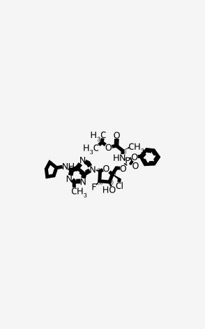 Cc1nc(NC2CCCC2)c2ncn([C@@H]3O[C@](CCl)(COP(=O)(N[C@@H](C)C(=O)OC(C)C)Oc4ccccc4)[C@@H](O)[C@@H]3F)c2n1